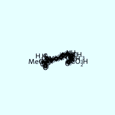 COC(=O)N[C@H](C(=O)N1C[C@@H](C)C[C@H]1c1nc(-c2ccc(-c3ccc4nc(-c5c[nH]c([C@@H]6C[C@H](C)CN6C(=O)[C@H](C6CCOCC6)N(C)C(=O)O)n5)ccc4c3)cc2)c[nH]1)C1CCOCC1